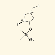 CC(C)(C)[Si](C)(C)OC1C[C@@H](CI)C[C@@H]1F